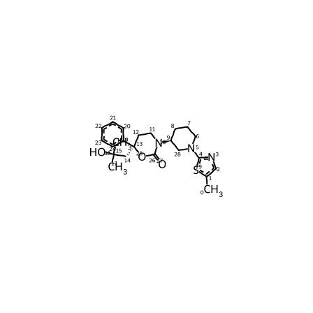 Cc1cnc(N2CCC[C@H](N3CC[C@](CC(C)(C)O)(c4ccccc4)OC3=O)C2)s1